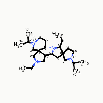 CCC1NC(C2CN(CC)CC23CCCN(C(C)C)C3)CC12CCN(C(C)C)C2